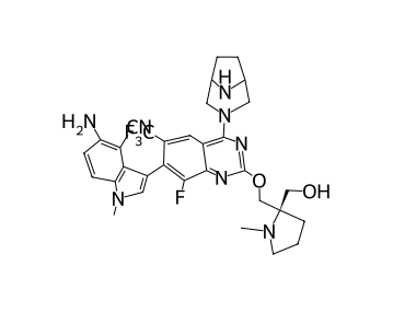 CN1CCC[C@@]1(CO)COc1nc(N2CC3CCC(C2)N3)c2cc(C(F)(F)F)c(-c3cn(C)c4ccc(N)c(C#N)c34)c(F)c2n1